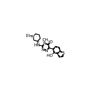 CCN1CCC[C@@H](Nc2nnc(-c3ccc4sccc4c3O)c(=O)n2C)C1